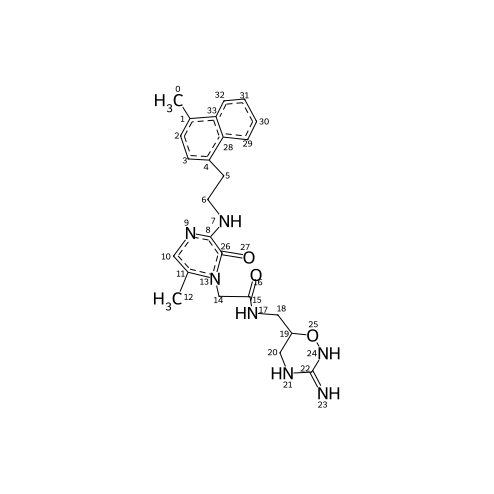 Cc1ccc(CCNc2ncc(C)n(CC(=O)NCC3CNC(=N)NO3)c2=O)c2ccccc12